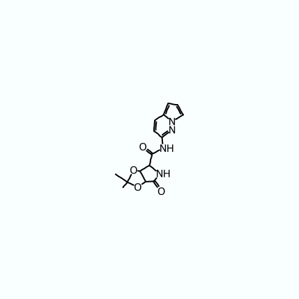 CC1(C)OC2C(=O)NC(C(=O)Nc3ccc4cccn4n3)C2O1